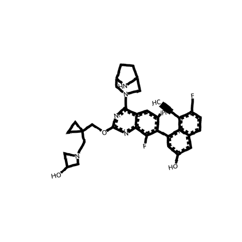 C#Cc1c(F)ccc2cc(O)cc(-c3c(C(C)C)cc4c(N5CC6CCC(C5)N6)nc(OCC5(CN6CC(O)C6)CC5)nc4c3F)c12